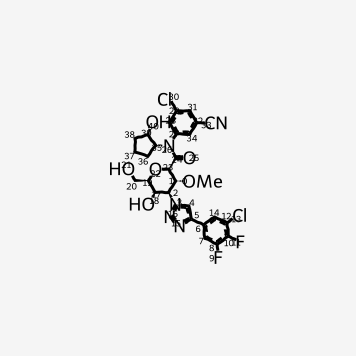 CO[C@@H]1[C@@H](n2cc(-c3cc(F)c(F)c(Cl)c3)nn2)[C@@H](O)[C@@H](CO)O[C@H]1C(=O)N(c1cc(Cl)cc(C#N)c1)[C@@H]1CCC[C@H]1O